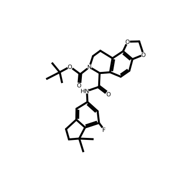 CC(C)(C)OC(=O)N1CCc2c(ccc3c2OCO3)C1C(=O)Nc1cc(F)c2c(c1)CCC2(C)C